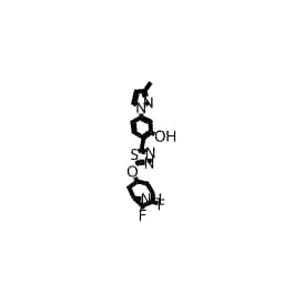 Cc1ccn(-c2ccc(-c3nnc(OC4CC5NC(C4)C(F)C5F)s3)c(O)c2)n1